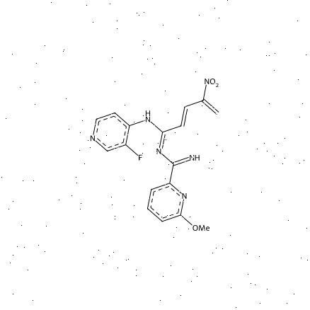 C=C(/C=C/C(=N\C(=N)c1cccc(OC)n1)Nc1ccncc1F)[N+](=O)[O-]